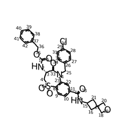 O=C(N[C@H]1CS(=O)(=O)c2ccc(C(=O)NC3CC4(COC4)C3)cc2N(Cc2ccc(Cl)cc2)C1=O)OCc1ccccc1